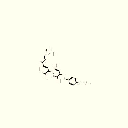 COc1ccc(COc2cc(C)n(-c3cc(C(=O)/C=C/N(C)C)ncc3C)c(=O)c2Cl)cc1